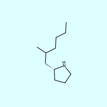 CCCCC(C)C[C@H]1CCCN1